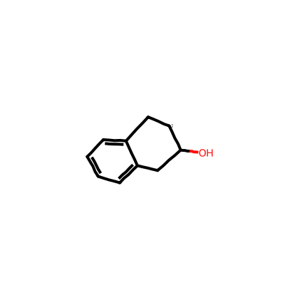 OC1[C]Cc2ccccc2C1